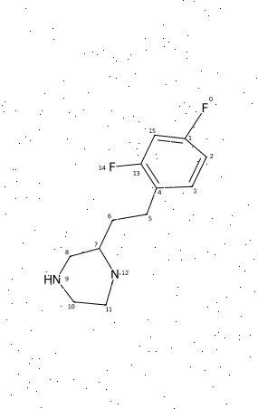 Fc1ccc(CCC2CNCC[N]2)c(F)c1